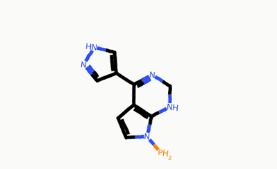 Pn1ccc2c1NCN=C2c1cn[nH]c1